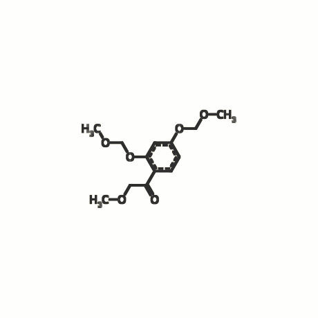 COCOc1ccc(C(=O)COC)c(OCOC)c1